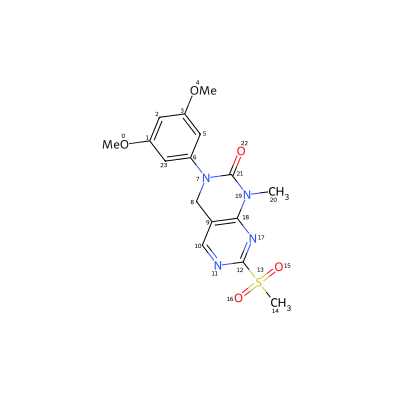 COc1cc(OC)cc(N2Cc3cnc(S(C)(=O)=O)nc3N(C)C2=O)c1